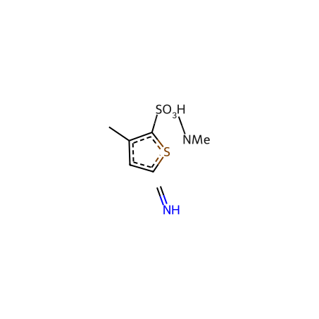 C=N.CNC.Cc1ccsc1S(=O)(=O)O